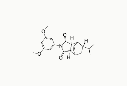 COc1cc(OC)cc(N2C(=O)[C@@H]3C4C[C@@H](C(C)C)C(C=C4C)[C@@H]3C2=O)c1